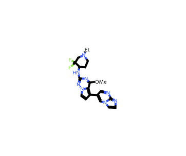 CCN1CCC(Nc2nc(OC)c3c(-c4cnc5nccn5c4)ccn3n2)C(F)(F)C1